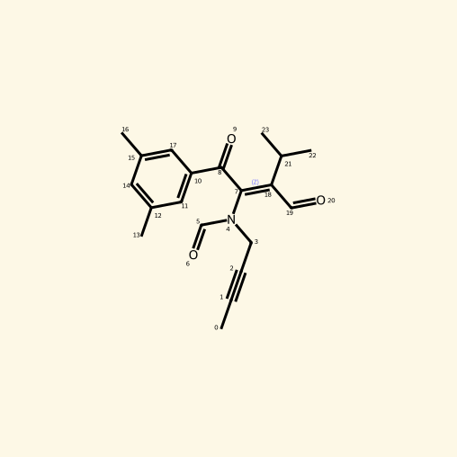 CC#CCN(C=O)/C(C(=O)c1cc(C)cc(C)c1)=C(\C=O)C(C)C